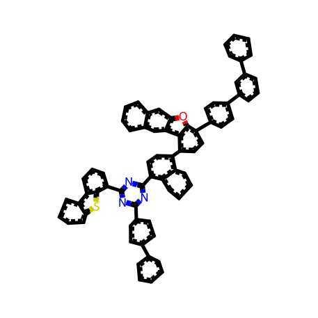 c1ccc(-c2ccc(-c3nc(-c4ccc(-c5ccc(-c6ccc(-c7cccc(-c8ccccc8)c7)cc6)c6oc7cc8ccccc8cc7c56)c5ccccc45)nc(-c4cccc5c4sc4ccccc45)n3)cc2)cc1